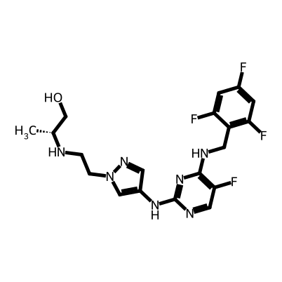 C[C@H](CO)NCCn1cc(Nc2ncc(F)c(NCc3c(F)cc(F)cc3F)n2)cn1